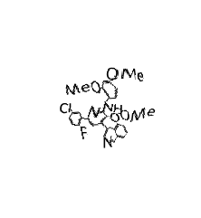 COCOc1c(-c2cncc3ccccc23)cc(-c2cc(Cl)ccc2F)nc1NCc1ccc(OC)cc1OC